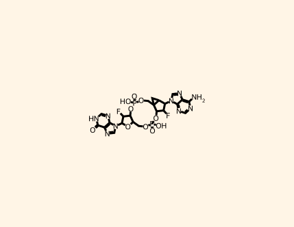 Nc1ncnc2c1ncn2C1C(F)C2OP(=O)(O)OCC3OC(n4cnc5c(=O)[nH]cnc54)C(F)C3OP(=O)(O)OCC23CC13